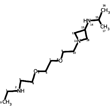 CCNCCOCCOCCN1CC(NC(C)C)C1